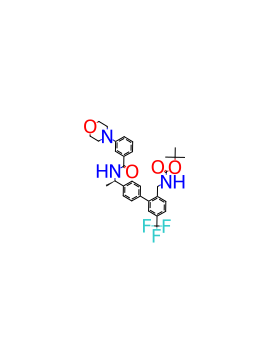 C[C@@H](NC(=O)c1cccc(N2CCOCC2)c1)c1ccc(-c2cc(C(F)(F)F)ccc2CNC(=O)OC(C)(C)C)cc1